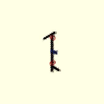 CCCCCCCCC(CCCC)C(C)OC(=O)CCCCCCCCCCCN(CCCCCCCCCC(=O)OCCC(CCCC)CCCCCCC)CCN(C)C